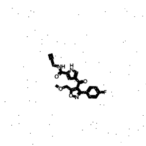 C#CCNC(=O)c1cc(C(=O)c2c(-c3ccc(F)cc3)noc2COC)c[nH]1